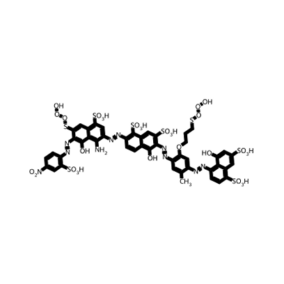 Cc1cc(N=Nc2c(S(=O)(=O)O)cc3c(S(=O)(=O)O)c(N=Nc4cc(S(=O)(=O)O)c5cc(SOOO)c(N=Nc6ccc([N+](=O)[O-])cc6S(=O)(=O)O)c(O)c5c4N)ccc3c2O)c(OCCCSOOO)cc1N=Nc1ccc(S(=O)(=O)O)c2cc(S(=O)(=O)O)cc(O)c12